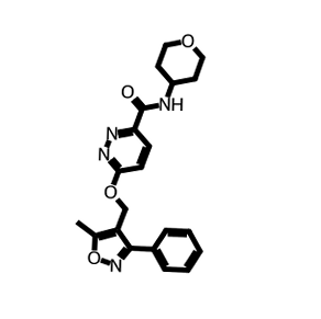 Cc1onc(-c2ccccc2)c1COc1ccc(C(=O)NC2CCOCC2)nn1